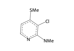 CNc1nccc(SC)c1Cl